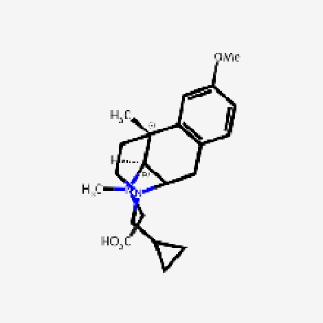 COc1ccc2c(c1)[C@@]1(C)CCN(CC3CC3)C(C2)[C@H]1N(C)CC(=O)O